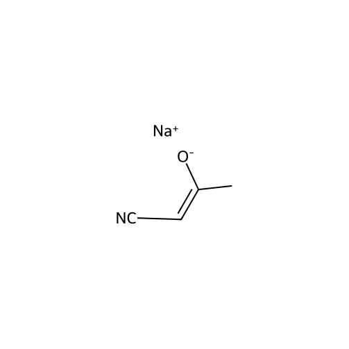 C/C([O-])=C/C#N.[Na+]